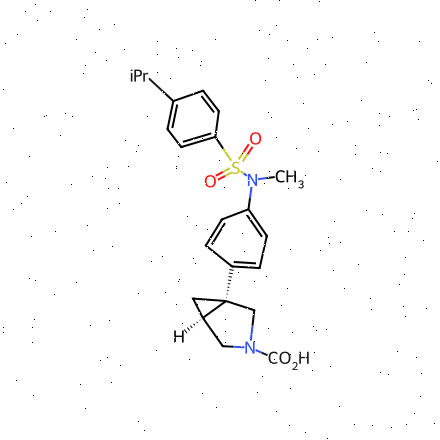 CC(C)c1ccc(S(=O)(=O)N(C)c2ccc([C@@]34C[C@@H]3CN(C(=O)O)C4)cc2)cc1